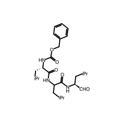 CC(C)CC(NC(=O)[C@H](CC(C)C)NC(=O)OCc1ccccc1)C(=O)N[C@H](C=O)CC(C)C